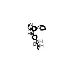 CCNC(=O)NC1CCC(Nc2cc(N3CC4CCC(C3)O4)cc3nccnc23)CC1